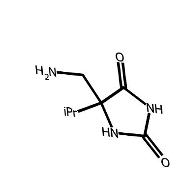 CC(C)C1(CN)NC(=O)NC1=O